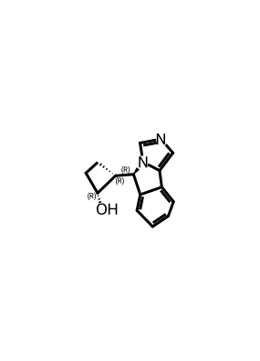 O[C@@H]1CC[C@@H]1[C@@H]1c2ccccc2-c2cncn21